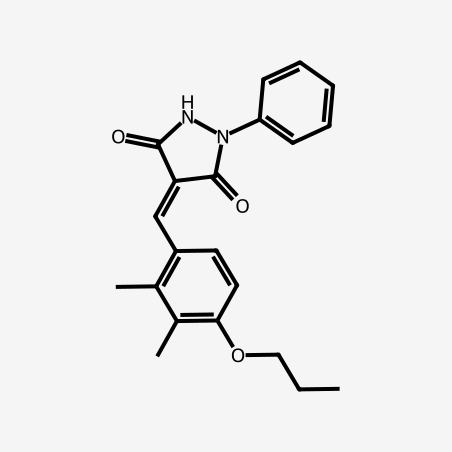 CCCOc1ccc(C=C2C(=O)NN(c3ccccc3)C2=O)c(C)c1C